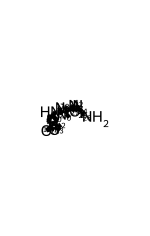 Cc1nc(Nc2ccc3c(c2)C(C)(C)OC3=O)ncc1-c1nnc(CCN)o1